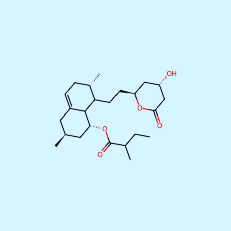 CCC(C)C(=O)O[C@@H]1C[C@@H](C)CC2=CC[C@H](C)C(CC[C@H]3C[C@H](O)CC(=O)O3)C21